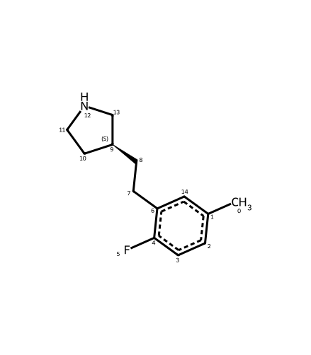 Cc1ccc(F)c(CC[C@H]2CCNC2)c1